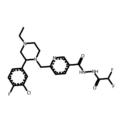 CCN1CCN(Cc2ccc(C(=O)NNC(=O)C(F)F)cn2)C(c2ccc(F)c(Cl)c2)C1